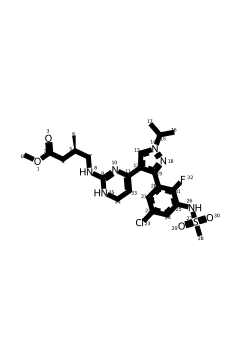 COC(=O)C[C@@H](C)CNC1=NC(c2cn(C(C)C)nc2-c2cc(Cl)cc(NS(C)(=O)=O)c2F)=CCN1